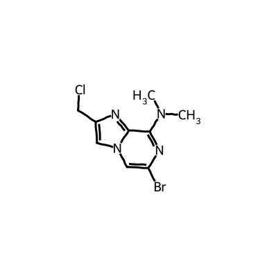 CN(C)c1nc(Br)cn2cc(CCl)nc12